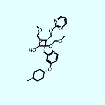 COCO[C@@]1(Cc2cc(O[C@H]3CC[C@H](C)CC3)ccn2)C(O)N(COC)[C@H]1COc1ncccn1